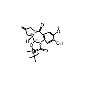 C=C1C[C@H]2[C@H](O[Si](C)(C)C(C)(C)C)N(C(=O)O)c3cc(O)c(OC)cc3C(=O)N2C1